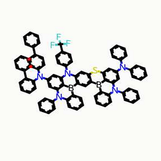 FC(F)(F)c1ccc(N2c3cc4c(cc3B3c5ccccc5N(c5ccccc5)c5cc(N(c6ccc(-c7ccccc7)cc6)c6ccccc6-c6ccccc6)cc2c53)B2c3ccccc3N(c3ccccc3)c3cc(N(c5ccccc5)c5ccccc5)cc(c32)S4)cc1